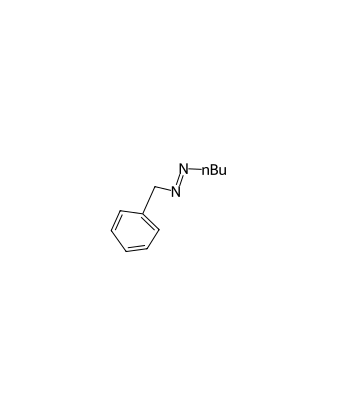 CCCCN=NCc1ccccc1